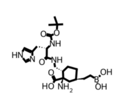 CC(C)(C)OC(=O)N[C@@H](Cc1c[nH]cn1)C(=O)NC[C@@H]1CC[C@@H](CCB(O)O)C[C@]1(N)C(=O)O